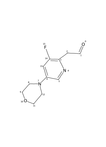 O=CCc1ncc(N2CCOCC2)cc1F